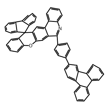 c1ccc2c(c1)Oc1cc3c(-c4ccc(-c5ccc6c7ccccc7c7ccccc7c6c5)cc4)nc4ccccc4c3cc1C21c2ccccc2-c2ccccc21